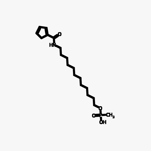 CP(=O)(O)OCCCCCCCCCCCCNC(=O)C1=CC=CC1